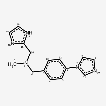 CN(Cc1ccc(-n2ccnc2)cc1)Cc1ncc[nH]1